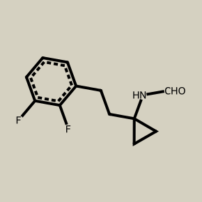 O=CNC1(CCc2cccc(F)c2F)CC1